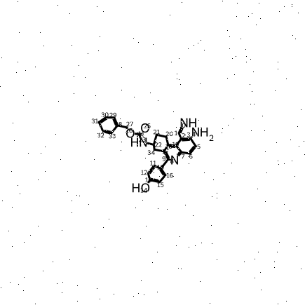 N=Cc1c(N)ccc2nc(-c3ccc(O)cc3)c3c(c12)CCC(NC(=O)OCc1ccccc1)C3